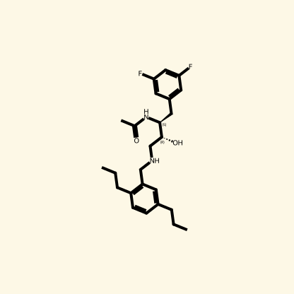 CCCc1ccc(CCC)c(CNC[C@@H](O)[C@H](Cc2cc(F)cc(F)c2)NC(C)=O)c1